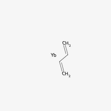 C=CC=C.[Yb]